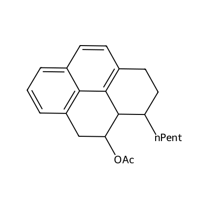 CCCCCC1CCc2ccc3cccc4c3c2C1C(OC(C)=O)C4